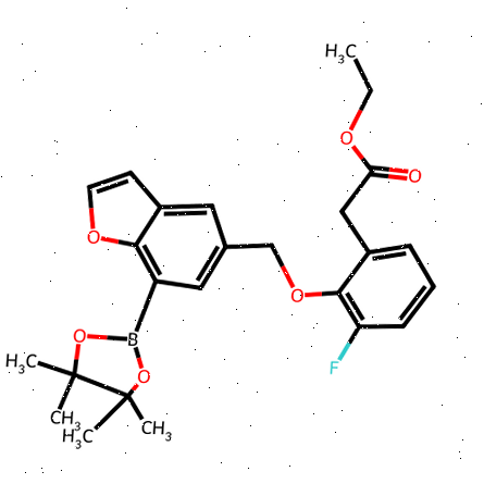 CCOC(=O)Cc1cccc(F)c1OCc1cc(B2OC(C)(C)C(C)(C)O2)c2occc2c1